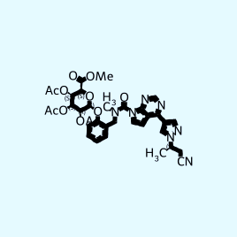 COC(=O)[C@H]1O[C@@H](Oc2ccccc2CN(C)C(=O)n2ccc3c(-c4cnn([C@@H](C)CC#N)c4)ncnc32)[C@H](OC(C)=O)[C@@H](OC(C)=O)[C@@H]1OC(C)=O